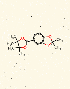 CC1(C)Oc2ccc(B3OC(C)(C)C(C)(C)O3)cc2O1